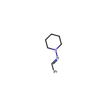 CC(C)/C=N/N1CCCCC1